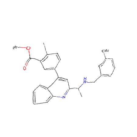 COc1cccc(CNC(C)c2cc(-c3ccc(C)c(C(=O)OC(C)C)c3)c3ccccc3n2)c1